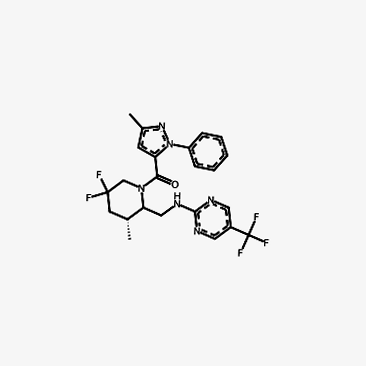 Cc1cc(C(=O)N2CC(F)(F)C[C@@H](C)C2CNc2ncc(C(F)(F)F)cn2)n(-c2ccccc2)n1